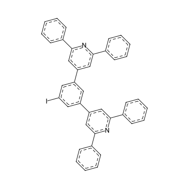 Ic1cc(-c2cc(-c3ccccc3)nc(-c3ccccc3)c2)cc(-c2cc(-c3ccccc3)nc(-c3ccccc3)c2)c1